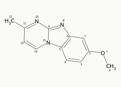 COc1ccc2c(c1)nc1nc(C)ccn12